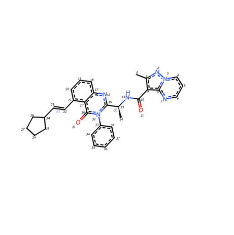 Cc1nn2cccnc2c1C(=O)N[C@@H](C)c1nc2cccc(/C=C/C3CCCC3)c2c(=O)n1-c1ccccc1